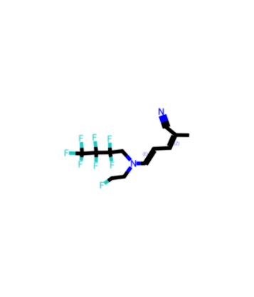 C/C(C#N)=C/C=C/N(CCF)CC(F)(F)C(F)(F)C(F)(F)F